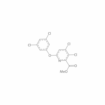 COC(=O)c1nc(Oc2cc(Cl)cc(Cl)c2)cc(Cl)c1Cl